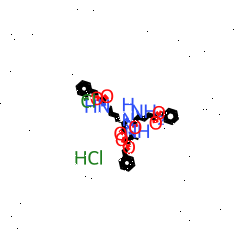 C[C@H](NC(=O)[C@H](CCCCNC(=O)OCc1ccccc1Cl)NC(=O)[C@@H](N)CCC(=O)OC1CCCCC1)C(=O)OCc1ccccc1.Cl